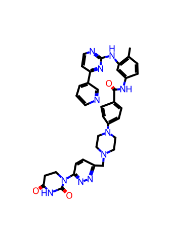 Cc1ccc(NC(=O)c2ccc(N3CCN(Cc4ccc(N5CCC(=O)NC5=O)nn4)CC3)cc2)cc1Nc1nccc(-c2cccnc2)n1